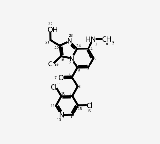 CNc1ccc(C(=O)Cc2c(Cl)cncc2Cl)n2c(Cl)c(CO)nc12